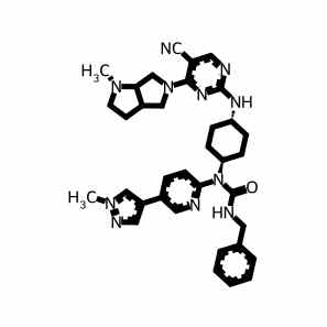 CN1CCC2CN(c3nc(N[C@H]4CC[C@H](N(C(=O)NCc5ccccc5)c5ccc(-c6cnn(C)c6)cn5)CC4)ncc3C#N)CC21